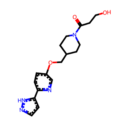 O=C(CCO)N1CCC(COc2ccc(-c3ccn[nH]3)nc2)CC1